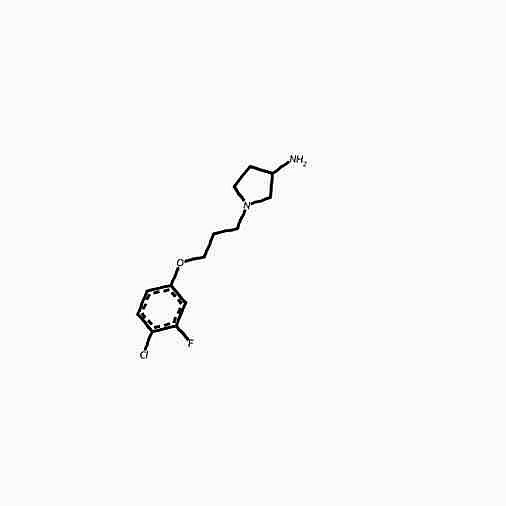 NC1CCN(CCCOc2ccc(Cl)c(F)c2)C1